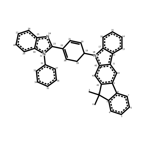 CC1(C)c2ccccc2-c2cc3c4ccccc4n(C4C=CC(c5nc6ccccc6n5-c5ccccc5)=CC4)c3cc21